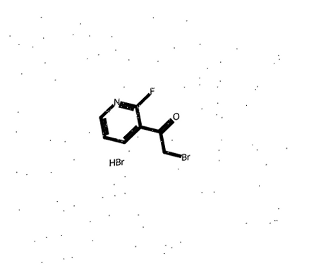 Br.O=C(CBr)c1cccnc1F